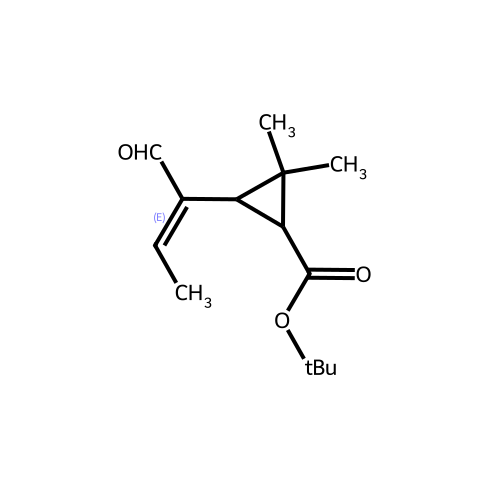 C/C=C(/C=O)C1C(C(=O)OC(C)(C)C)C1(C)C